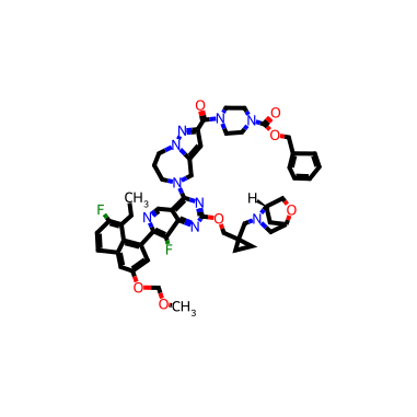 CCc1c(F)ccc2cc(OCOC)cc(-c3ncc4c(N5CCCn6nc(C(=O)N7CCN(C(=O)OCc8ccccc8)CC7)cc6C5)nc(OCC5(CN6CC7C[C@H]6CO7)CC5)nc4c3F)c12